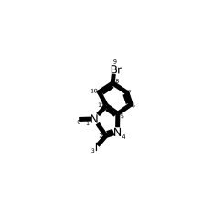 Cn1c(I)nc2ccc(Br)cc21